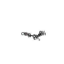 Cc1cc(C#Cc2ccc(-c3ccc(Cl)cc3)cn2)ccc1OCCN1C[C@@H](O)[C@H](O)C1